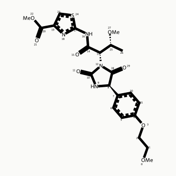 COCCOc1ccc([C@H]2NC(=O)N([C@H](C(=O)Nc3nc(C(=O)OC)cs3)[C@@H](C)OC)C2=O)cc1